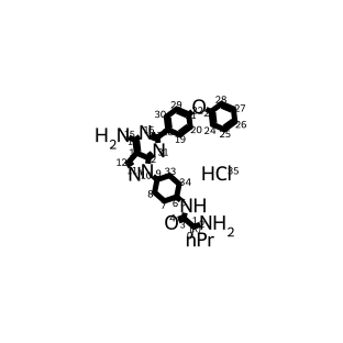 CCC[C@@H](N)C(=O)NC1CCC(n2ncc3c(N)nc(-c4ccc(Oc5ccccc5)cc4)nc32)CC1.Cl